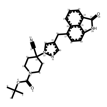 CC(C)(C)OC(=O)N1CCC(C#N)(n2cc(Cc3ccc4c5c(cccc35)C(=O)N4)cn2)CC1